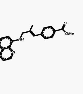 COC(=O)c1ccc(C=C(C)CNc2cccc3cccnc23)cc1